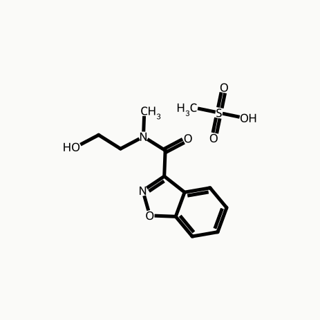 CN(CCO)C(=O)c1noc2ccccc12.CS(=O)(=O)O